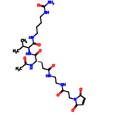 CC(=O)N[C@@H](CCC(=O)NCCNC(=O)CCN1C(=O)C=CC1=O)C(=O)N[C@H](C(=O)NCCCCNC(N)=O)C(C)C